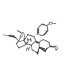 CC#C[C@]1(OC)CC[C@H]2[C@@H]3CCC4=CC(=O)CCC4=C3[C@@H](c3ccc(OC)cc3)CC21C